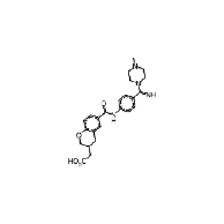 CN1CCN(C(=N)c2ccc(NC(=O)c3ccc4c(c3)CC(CC(=O)O)CO4)cc2)CC1